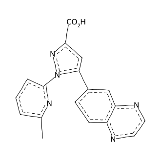 Cc1cccc(-n2nc(C(=O)O)cc2-c2ccc3nccnc3c2)n1